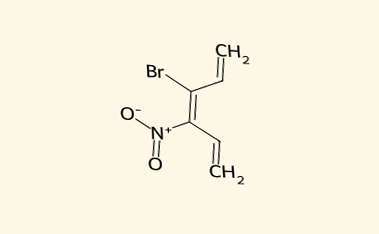 C=C/C(Br)=C(\C=C)[N+](=O)[O-]